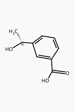 C[C@@H](O)c1cccc(C(=O)O)c1